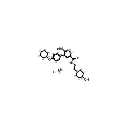 CCCCc1nnc(C(=O)NCCN2CCC(O)CC2)cc1-c1ccc(OC2CCCCC2)cc1.Cl.Cl